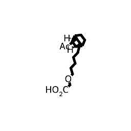 CC(=O)[C@H]1C2CCC(CC2)[C@@H]1CCCCCOCC(=O)O